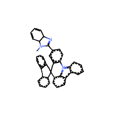 CN1C(c2ccc3c(c2)C2(c4ccccc4-c4ccccc42)c2cccc4c5ccccc5n-3c24)=NC2C=CC=CC21